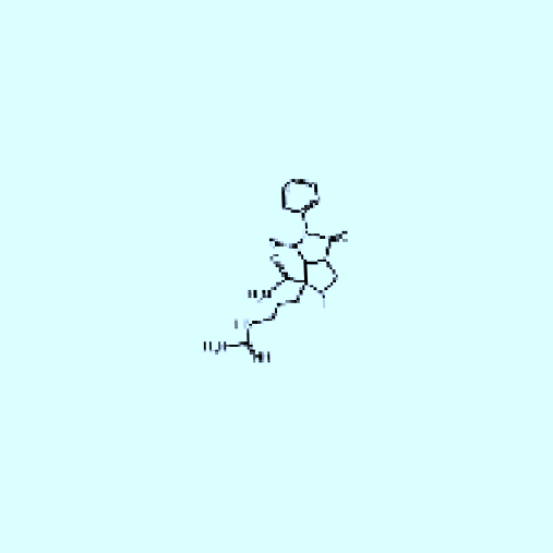 N=C(N)NCCCC1(C(N)=O)NCC2C(=O)N(c3ccccc3)C(=O)C21